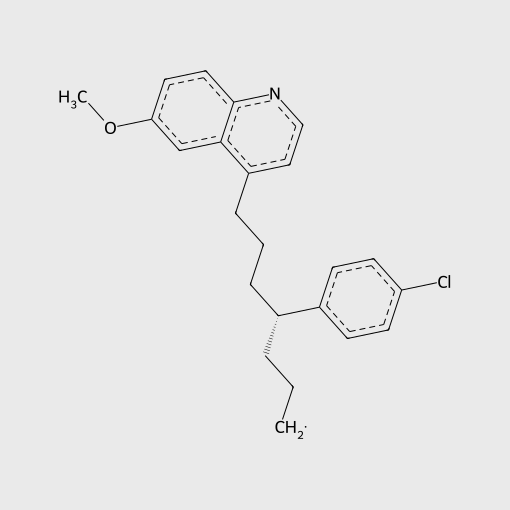 [CH2]CC[C@H](CCCc1ccnc2ccc(OC)cc12)c1ccc(Cl)cc1